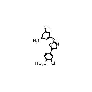 Cc1cc(C)cc(Nc2ncc(-c3ccc(C(=O)O)c(Cl)c3)o2)c1